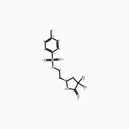 CCC1(CC)C[C@H](CCOS(=O)(=O)c2ccc(C)cc2)OC1=O